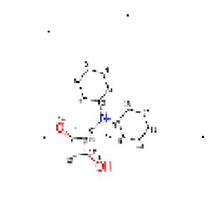 CN(C1CCCCC1)C1CCCCC1.O=C1C=C(O)C1